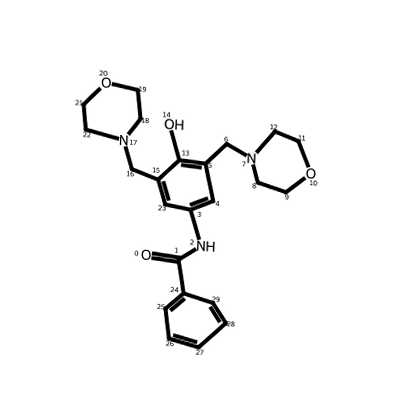 O=C(Nc1cc(CN2CCOCC2)c(O)c(CN2CCOCC2)c1)c1ccccc1